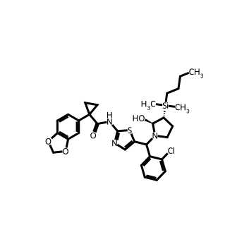 CCCC[Si](C)(C)[C@@H]1CCN(C(c2cnc(NC(=O)C3(c4ccc5c(c4)OCO5)CC3)s2)c2ccccc2Cl)[C@H]1O